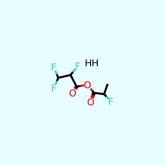 CC(F)C(=O)OC(=O)C(F)C(F)F.[HH]